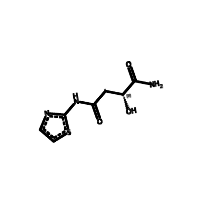 NC(=O)[C@H](O)[CH]C(=O)Nc1nccs1